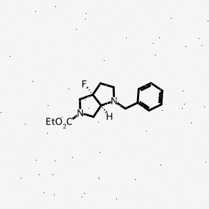 CCOC(=O)N1C[C@@H]2N(Cc3ccccc3)CC[C@]2(F)C1